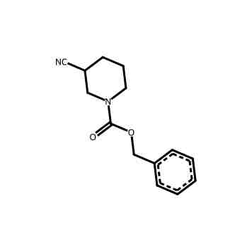 N#CC1CCCN(C(=O)OCc2ccccc2)C1